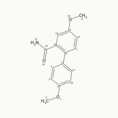 COc1ccc(-c2ccc(OC)cc2C(N)=O)cc1